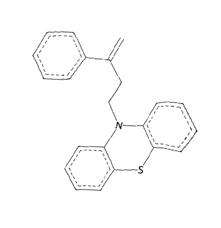 C=C(CCN1c2ccccc2Sc2ccccc21)c1ccccc1